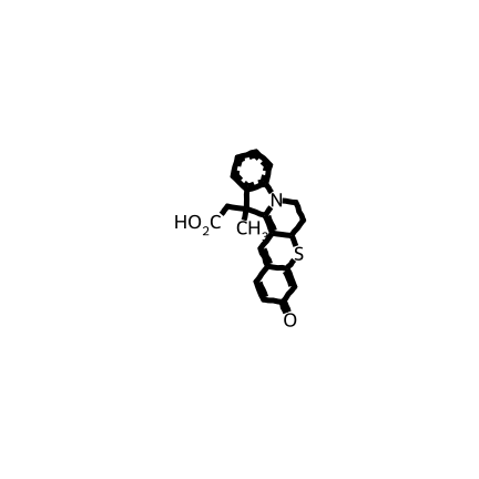 CC1(CC(=O)O)C2=C3C=C4C=CC(=O)C=C4SC3CCN2c2ccccc21